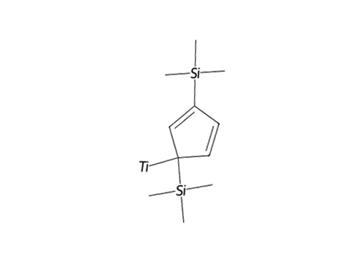 C[Si](C)(C)C1=C[C]([Ti])([Si](C)(C)C)C=C1